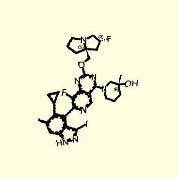 Cc1cc2[nH]nc(I)c2c(-c2ncc3c(N4CCC[C@@](C)(O)C4)nc(OC[C@@]45CCCN4C[C@H](F)C5)nc3c2F)c1C1CC1